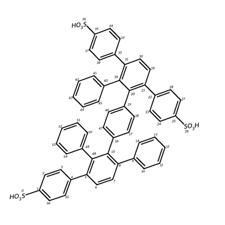 O=S(=O)(O)c1ccc(-c2ccc(-c3ccccc3)c(-c3ccc(-c4c(-c5ccc(S(=O)(=O)O)cc5)ccc(-c5ccc(S(=O)(=O)O)cc5)c4-c4ccccc4)cc3)c2-c2ccccc2)cc1